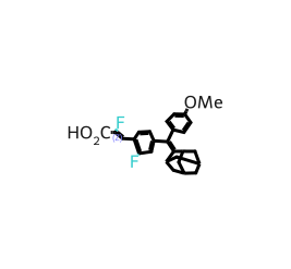 COc1ccc(C(=C2C3CC4CC(C3)CC2C4)c2ccc(/C=C(\F)C(=O)O)c(F)c2)cc1